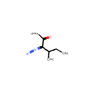 CCCCCCC(=O)C(=[N+]=[N-])C(COC(C)=O)OC(C)=O